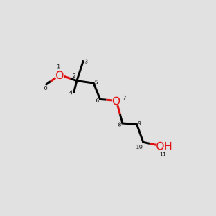 COC(C)(C)CCOCCCO